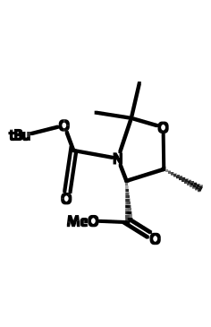 COC(=O)[C@H]1[C@@H](C)OC(C)(C)N1C(=O)OC(C)(C)C